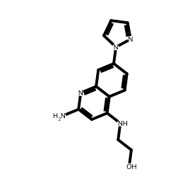 Nc1cc(NCCO)c2ccc(-n3cccn3)cc2n1